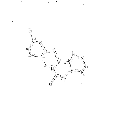 O=c1[nH]c2nccnc2c(=O)n1Cc1ccc(Cl)cc1